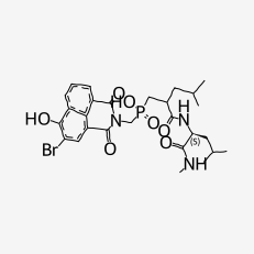 CNC(=O)[C@H](CC(C)C)NC(=O)C(CC(C)C)CP(=O)(O)CN1C(=O)c2cccc3c(O)c(Br)cc(c23)C1=O